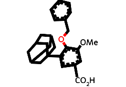 COc1cc(C(=O)O)cc(C23CC4CC(CC(C4)C2)C3)c1OCc1ccccc1